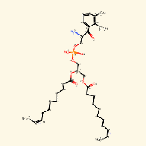 CCCCCCCC/C=C\CCCCCCCC(=O)OC[C@H](COP(=O)(O)OCC(N)C(=O)c1cccc(OC(C)=O)c1C(=O)O)OC(=O)CCCCCCC/C=C\CCCCCCCC